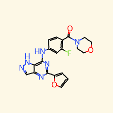 O=C(c1ccc(Nc2nc(-c3ccco3)nc3cn[nH]c23)cc1F)N1CCOCC1